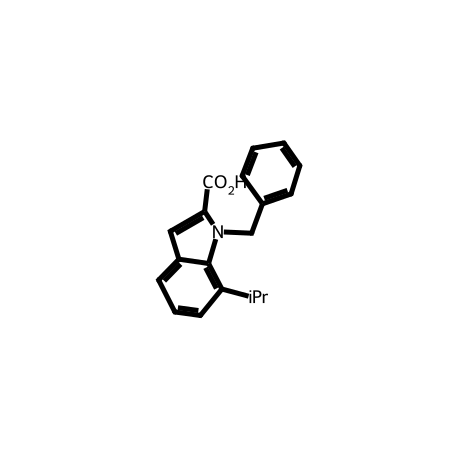 CC(C)c1cccc2cc(C(=O)O)n(Cc3ccccc3)c12